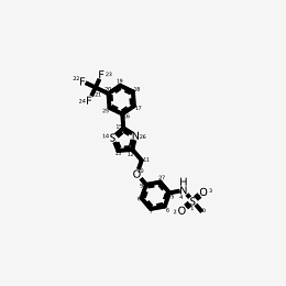 CS(=O)(=O)Nc1cccc(OCc2csc(-c3cccc(C(F)(F)F)c3)n2)c1